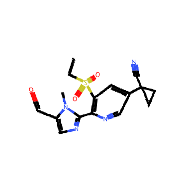 CCS(=O)(=O)c1cc(C2(C#N)CC2)cnc1-c1ncc(C=O)n1C